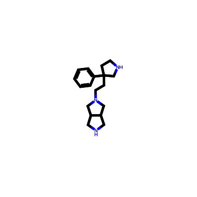 c1ccc(C2(CCN3CC4CNCC4C3)CCNC2)cc1